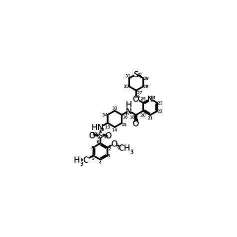 COc1ccc(C)cc1S(=O)(=O)NC1CCC(NC(=O)c2cccnc2OC2CCSCC2)CC1